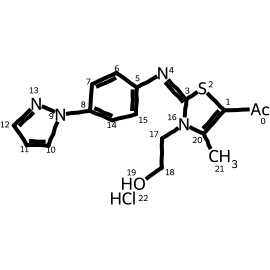 CC(=O)c1sc(=Nc2ccc(-n3cccn3)cc2)n(CCO)c1C.Cl